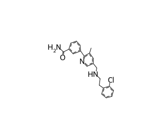 Cc1cc(CNCCc2ccccc2Cl)cnc1-c1cccc(C(N)=O)c1